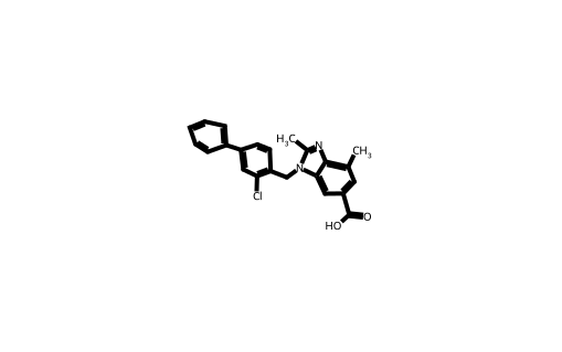 Cc1cc(C(=O)O)cc2c1nc(C)n2Cc1ccc(-c2ccccc2)cc1Cl